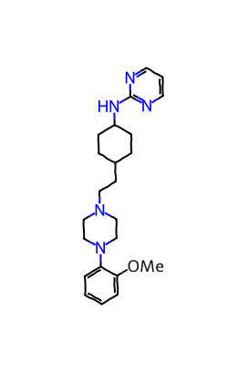 COc1ccccc1N1CCN(CCC2CCC(Nc3ncccn3)CC2)CC1